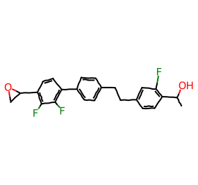 CC(O)c1ccc(CCc2ccc(-c3ccc(C4CO4)c(F)c3F)cc2)cc1F